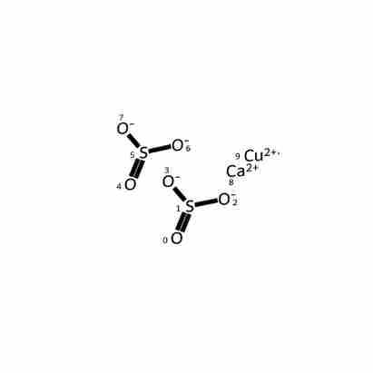 O=S([O-])[O-].O=S([O-])[O-].[Ca+2].[Cu+2]